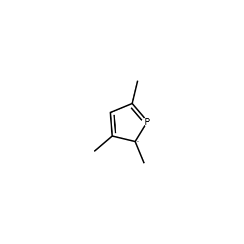 C[C]1P=C(C)C=C1C